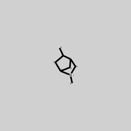 CC1CC2CC1CN2C